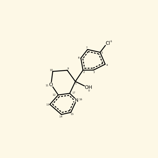 OC1(c2ccc(Cl)cc2)CCOc2cccnc21